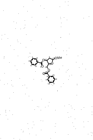 COC1CC(OC(=O)c2ccccc2)C(COC(=O)c2ccccc2)O1